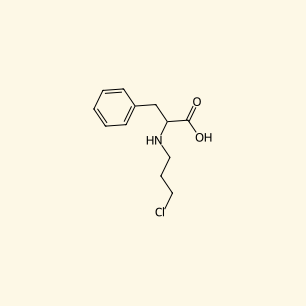 O=C(O)C(Cc1ccccc1)NCCCCl